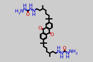 CC(CCCC(C)(C)c1ccc2c(c1)C(=O)c1ccc(C(C)(C)CCCC(C)CCNNC(=O)NN)cc1C2=O)CCNNC(=O)NN